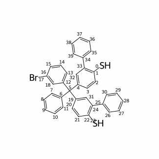 Sc1ccc(C(c2ccccc2)(c2cccc(Br)c2)c2ccc(S)c(-c3ccccc3)c2)cc1-c1ccccc1